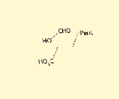 CCCCCCCC(=O)O.O=CO